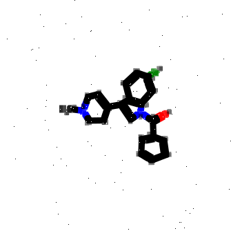 CN1CC=C(c2cn(C(=O)c3ccccc3)c3cc(Br)ccc23)CC1